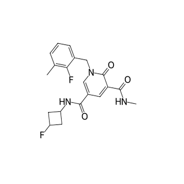 CNC(=O)c1cc(C(=O)NC2CC(F)C2)cn(Cc2cccc(C)c2F)c1=O